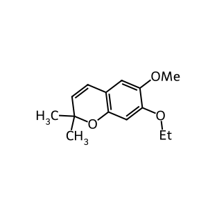 CCOc1cc2c(cc1OC)C=CC(C)(C)O2